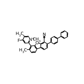 Cc1c[n+](C)c(-c2c(C)ccc3c2oc2c(C#N)c(-c4ccc(-c5ccccc5)cc4)ccc23)cc1F